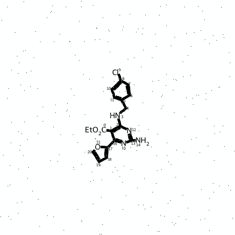 CCOC(=O)c1c(NCc2ccc(Cl)cc2)nc(N)nc1-c1ccco1